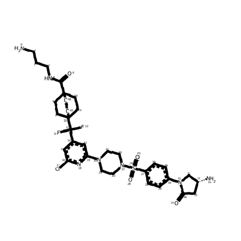 NCCCNC(=O)C12CCC(C(F)(F)c3cc(Cl)nc(N4CCN(S(=O)(=O)c5ccc(N6C[C@H](N)CC6=O)cc5)CC4)c3)(CC1)CC2